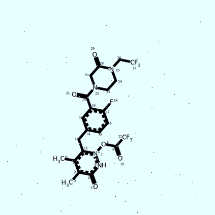 Cc1c(C)c(=O)[nH][n+](OC(=O)C(F)(F)F)c1Cc1ccc(F)c(C(=O)N2CCN(CC(F)(F)F)C(=O)C2)c1